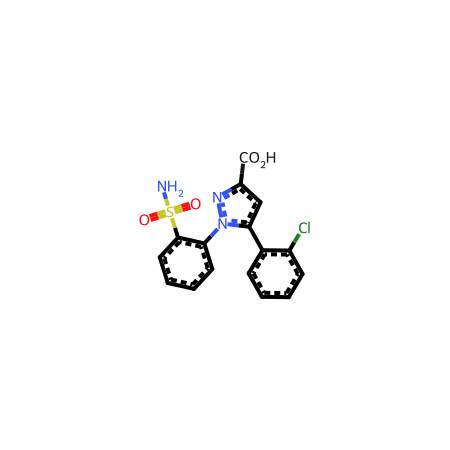 NS(=O)(=O)c1ccccc1-n1nc(C(=O)O)cc1-c1ccccc1Cl